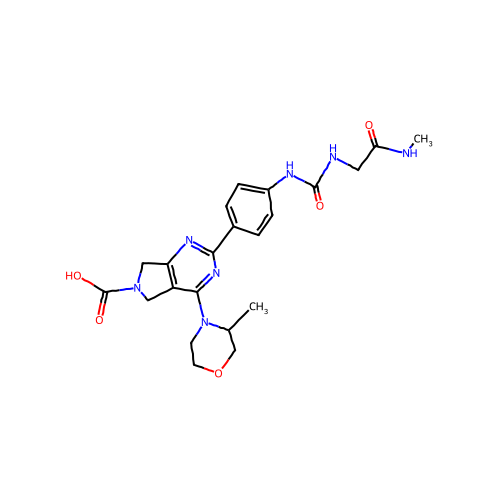 CNC(=O)CNC(=O)Nc1ccc(-c2nc3c(c(N4CCOCC4C)n2)CN(C(=O)O)C3)cc1